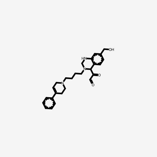 O=CC(=O)C1c2ccc(CO)cc2NCN1CCCCN1CC=C(c2ccccc2)CC1